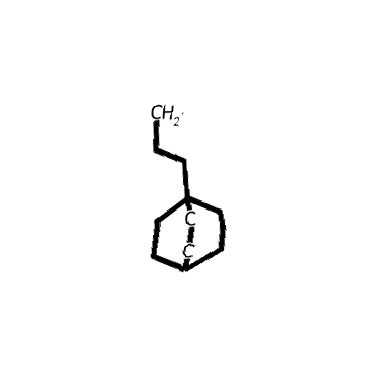 [CH2]CCC12CCC(CC1)CC2